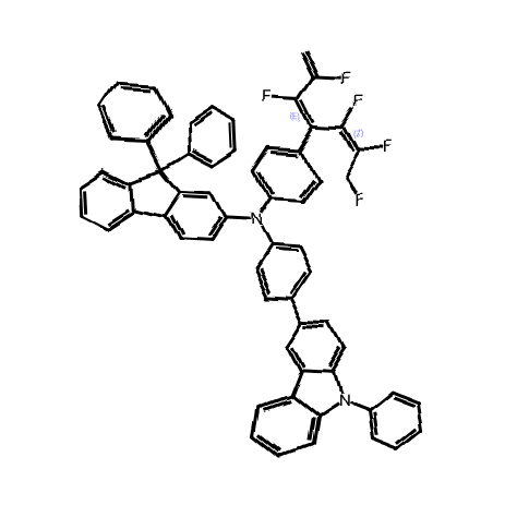 C=C(F)/C(F)=C(\C(F)=C(\F)CF)c1ccc(N(c2ccc(-c3ccc4c(c3)c3ccccc3n4-c3ccccc3)cc2)c2ccc3c(c2)C(c2ccccc2)(c2ccccc2)c2ccccc2-3)cc1